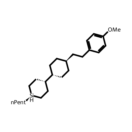 CCCCC[Si@H]1CC[C@H]([C@H]2CC[C@H](CCc3ccc(OC)cc3)CC2)CC1